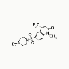 CCN1CCN(S(=O)(=O)c2ccc3c(c2)c(C(F)(F)F)cc(=O)n3C)CC1